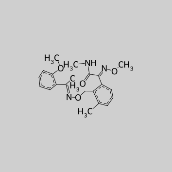 CNC(=O)/C(=N/OC)c1cccc(C)c1CO/N=C(\C)c1ccccc1OC